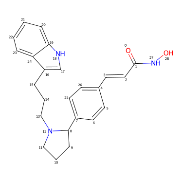 O=C(C=Cc1ccc(C2CCCN2CCCc2c[nH]c3ccccc23)cc1)NO